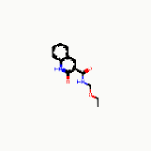 CCOCNC(=O)c1cc2ccccc2[nH]c1=O